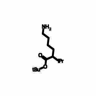 CC(C)C(CCCCN)C(=O)OC(C)(C)C